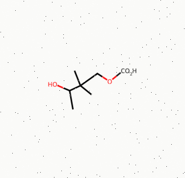 CC(O)C(C)(C)COC(=O)O